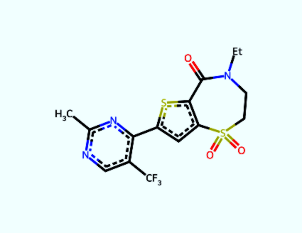 CCN1CCS(=O)(=O)c2cc(-c3nc(C)ncc3C(F)(F)F)sc2C1=O